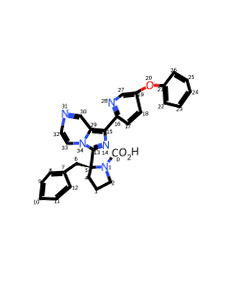 O=C(O)N1CCC[C@]1(Cc1ccccc1)c1nc(-c2ccc(Oc3ccccc3)cn2)c2cnccn12